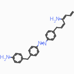 C=C/C=C(N)\C=C/Cc1ccc(/N=N/c2ccc(Cc3ccc(N)cc3)cc2)cc1